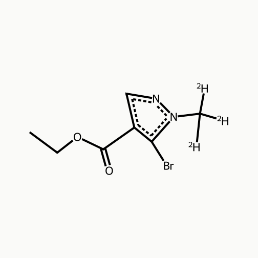 [2H]C([2H])([2H])n1ncc(C(=O)OCC)c1Br